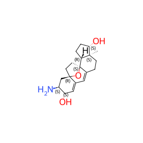 C[C@]12CCC3=CC4=C[C@H](O)[C@@H](N)C[C@]45CC[C@]3(O5)[C@@H]1CC[C@@H]2O